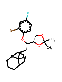 CC1(C)OC[C@@H]([C@H](CC[C@H]2B3CCCC2CCC3)Oc2ccc(F)cc2Br)O1